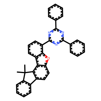 CC1(C)c2ccccc2-c2ccc3oc4c(-c5nc(-c6ccccc6)nc(-c6ccccc6)n5)cccc4c3c21